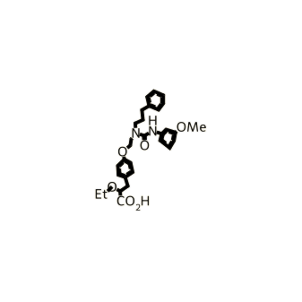 CCOC(Cc1ccc(OCCN(CCCc2ccccc2)C(=O)Nc2cccc(OC)c2)cc1)C(=O)O